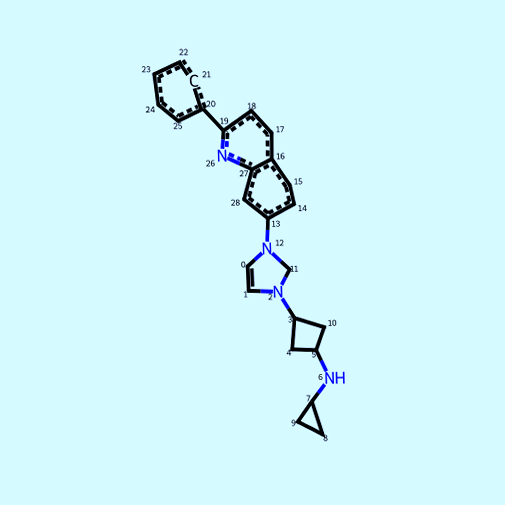 C1=CN(C2CC(NC3CC3)C2)CN1c1ccc2ccc(-c3ccccc3)nc2c1